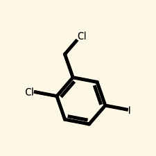 ClCc1cc(I)ccc1Cl